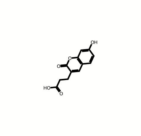 O=C(O)CCc1cc2ccc(O)cc2oc1=O